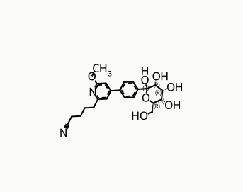 COc1cc(-c2ccc([C@@]3(O)O[C@H](CO)[C@@H](O)[C@@H](O)[C@H]3O)cc2)cc(CCCCC#N)n1